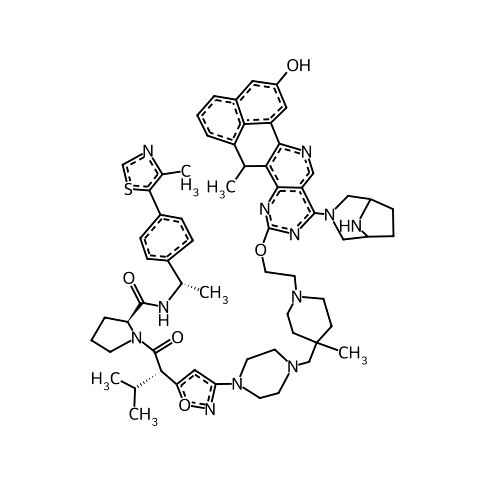 Cc1ncsc1-c1ccc([C@H](C)NC(=O)[C@@H]2CCCN2C(=O)[C@H](c2cc(N3CCN(CC4(C)CCN(CCOc5nc(N6CC7CCC(C6)N7)c6cnc7c(c6n5)C(C)c5cccc6cc(O)cc-7c56)CC4)CC3)no2)C(C)C)cc1